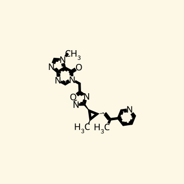 C/C(=C\[C@@H]1[C@H](C)[C@H]1c1noc(Cn2cnc3ncn(C)c3c2=O)n1)c1cccnc1